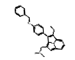 CCc1c(-c2ccc(OCc3ccccc3)cc2)c2c(CN(C)C)cc3cccc1n32